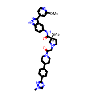 COc1cc(-c2n[nH]c3ccc(NC(=O)[C@]4(SC)CCN(CC(=O)N5CC=C(c6ccc(-c7ncn(C)n7)cc6)CC5)C4)cc23)ccn1